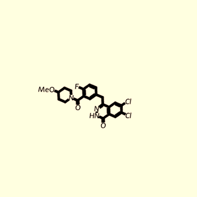 COC1CCN(C(=O)c2cc(Cc3n[nH]c(=O)c4cc(Cl)c(Cl)cc34)ccc2F)CC1